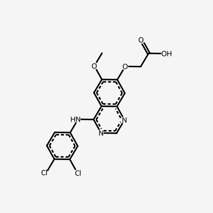 COc1cc2c(Nc3ccc(Cl)c(Cl)c3)ncnc2cc1OCC(=O)O